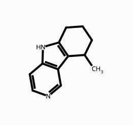 CC1CCCc2[nH]c3ccncc3c21